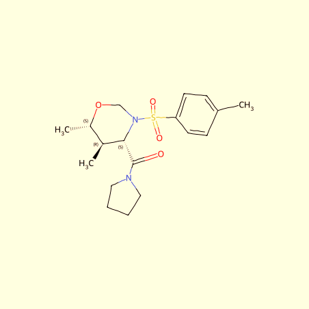 Cc1ccc(S(=O)(=O)N2CO[C@@H](C)[C@H](C)[C@H]2C(=O)N2CCCC2)cc1